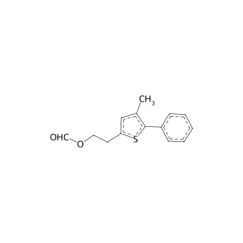 Cc1cc(CCOC=O)sc1-c1ccccc1